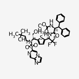 COC(=O)N[C@H](C(=O)N[C@H](c1ccc([C@@H](CO)N(CCC(C)(C)C)S(=O)(=O)c2cn3ccnc3cn2)s1)C(F)(F)F)C(c1ccccc1)c1ccccc1